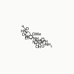 CCN1C(=O)[C@@H](NC(=O)C2CC2)CCc2c1ccc(Nc1ncc(Cl)c(N[C@H]3[C@@H](C(N)=O)[C@@H]4C=C[C@H]3C4)n1)c2OC